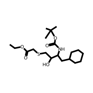 CCOC(=O)CSCC(O)C(CC1CCCCC1)NC(=O)OC(C)(C)C